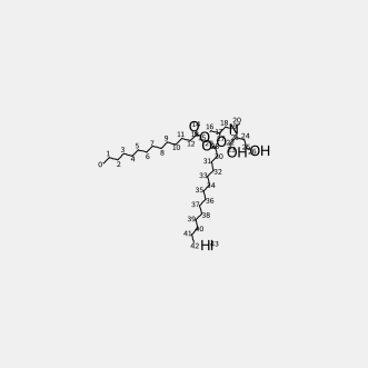 CCCCCCCCCCCCCC(=O)OCC(CN(C)C(CO)CCO)OC(=O)CCCCCCCCCCCCC.I